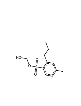 CCCc1cc(C)ccc1S(=O)(=O)OCO